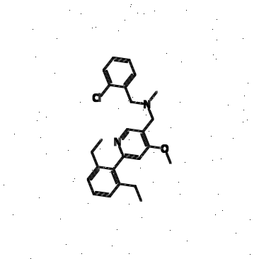 CCc1cccc(CC)c1-c1cc(OC)c(CN(C)Cc2ccccc2Cl)cn1